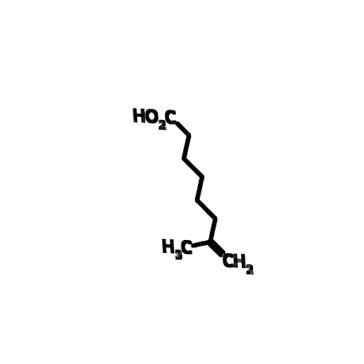 C=C(C)CCCCCC(=O)O